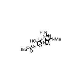 CNc1nc(N)nc2c1ncn2[C@@H]1O[C@H](COC(=O)OC(C)(C)C)[C@@H](O)[C@@]1(C)F